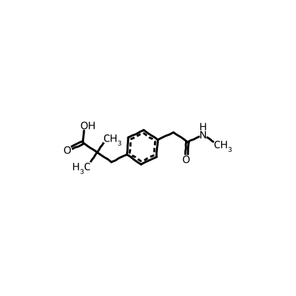 CNC(=O)Cc1ccc(CC(C)(C)C(=O)O)cc1